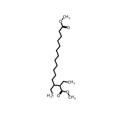 CCC(CCCCCCCCCCCC(=O)OC)C(CC)C(=O)OC